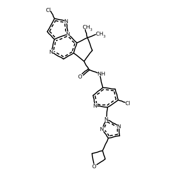 CC1(C)CC(C(=O)Nc2cnc(-n3ncc(C4COC4)n3)c(Cl)c2)c2cnc3cc(Cl)nn3c21